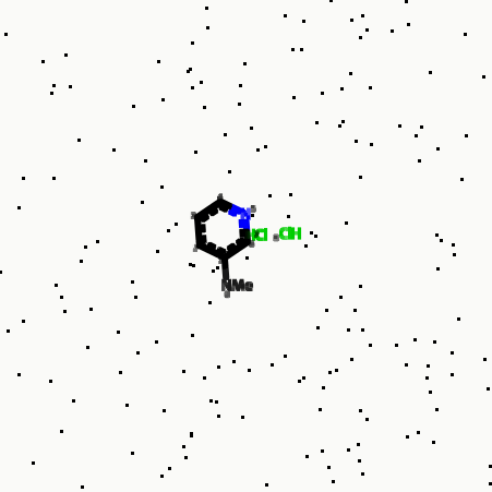 CNc1cccnc1.Cl.Cl